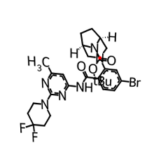 Cc1cc(NC(=O)c2ccc(Br)cc2N2C[C@H]3CC[C@@H](C2)N3C(=O)OC(C)(C)C)nc(N2CCC(F)(F)CC2)n1